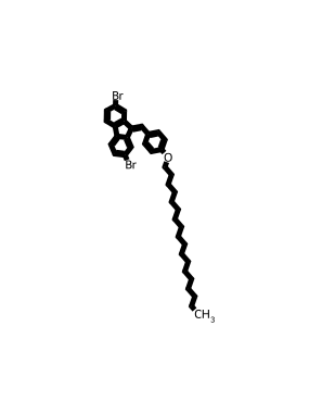 CCCCCCCCCCCCCCCCCCOc1ccc(C=C2c3cc(Br)ccc3-c3ccc(Br)cc32)cc1